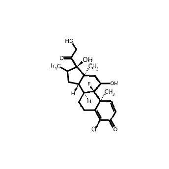 CC1C[C@H]2[C@@H]3CCC4=C(Cl)C(=O)C=C[C@]4(C)[C@@]3(F)C(O)C[C@]2(C)[C@@]1(O)C(=O)CO